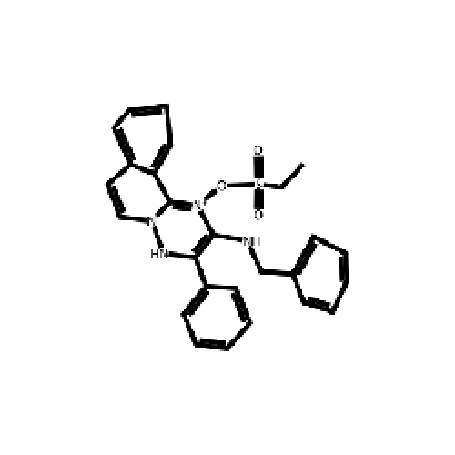 CCS(=O)(=O)O[N+]1=C2c3ccccc3C=CN2NC(c2ccccc2)=C1NCc1ccccc1